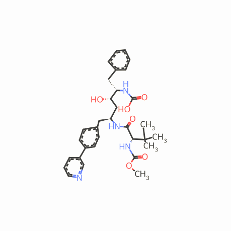 COC(=O)N[C@H](C(=O)N[C@@H](Cc1ccc(-c2cccnc2)cc1)C[C@H](O)[C@H](Cc1ccccc1)NC(=O)O)C(C)(C)C